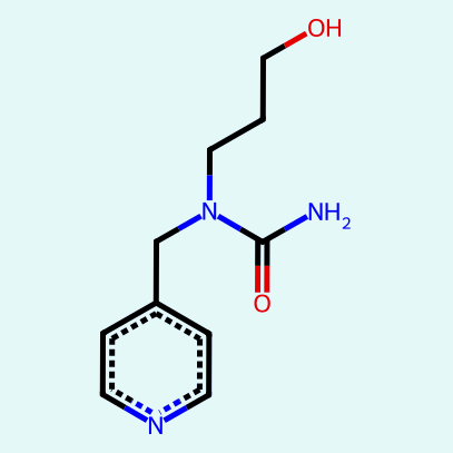 NC(=O)N(CCCO)Cc1ccncc1